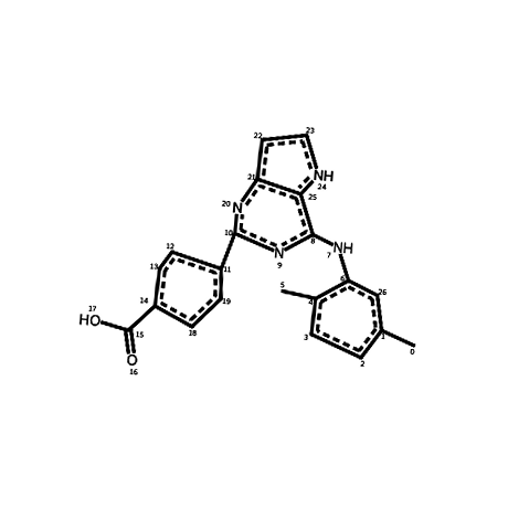 Cc1ccc(C)c(Nc2nc(-c3ccc(C(=O)O)cc3)nc3cc[nH]c23)c1